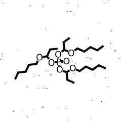 CCCCCOC(CC)OP(=O)(OC(CC)OCCCCC)OC(CC)OCCCCC